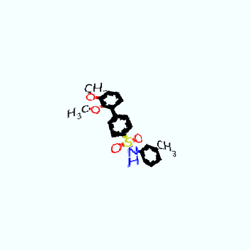 COc1cccc(-c2ccc(S(=O)(=O)Nc3cccc(C)c3)cc2)c1OC